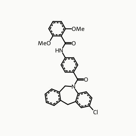 COc1cccc(OC)c1C(=O)Nc1ccc(C(=O)N2Cc3ccccc3Cc3cc(Cl)ccc32)cc1